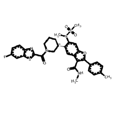 CNC(=O)c1c(-c2ccc(C)cc2)oc2cc(N(C)S(C)(=O)=O)c([C@H]3CCCN(C(=O)c4nc5ccc(F)cc5s4)C3)cc12